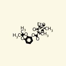 CCN([S+]([O-])N(C)C(=O)Oc1cccc2c1OC(C)(C)O2)S(C)(=O)=O